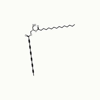 CC#CC#CC#CC#CC#CC#CC(=O)OC[C@@H](CO)OC(=O)CCCCCCCCCCCCCC